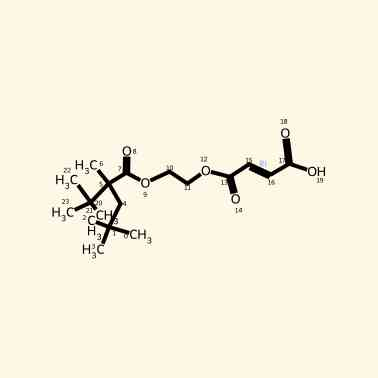 CC(C)(C)CC(C)(C(=O)OCCOC(=O)/C=C/C(=O)O)C(C)(C)C